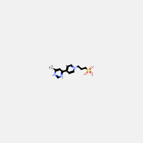 O=S(=O)([O-])CCC[n+]1ccc(-c2cc(C(F)(F)F)ncn2)cc1